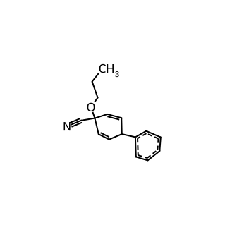 CCCOC1(C#N)C=CC(c2ccccc2)C=C1